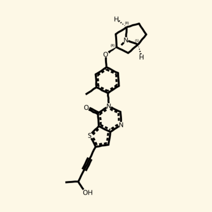 Cc1cc(O[C@H]2C[C@H]3CC[C@@H](C2)N3C)ccc1-n1cnc2cc(C#CC(C)O)sc2c1=O